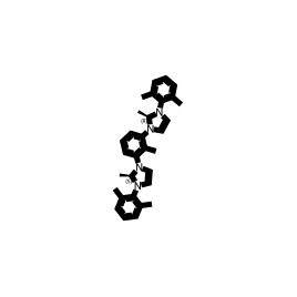 Cc1cccc(C)c1N1C=CN(c2cccc(N3C=CN(c4c(C)cccc4C)[C@H]3C)c2C)[C@H]1C